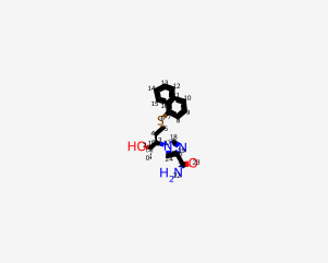 C[C@H](O)[C@@H](CCSc1cccc2ccccc12)n1cnc(C(N)=O)c1